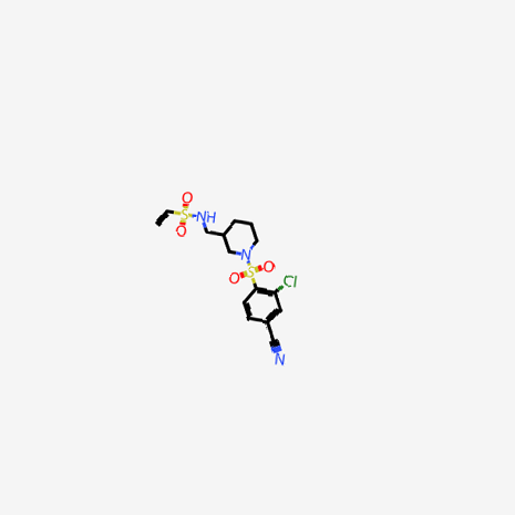 C=CS(=O)(=O)NCC1CCCN(S(=O)(=O)c2ccc(C#N)cc2Cl)C1